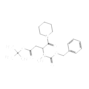 CN(C(=O)OCc1ccccc1)C(CC(=O)OC(C)(C)C)C(=O)N1CCCCC1